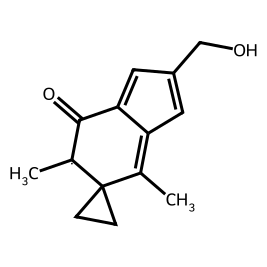 C[C]1C(=O)C2=CC(CO)=CC2=C(C)C12CC2